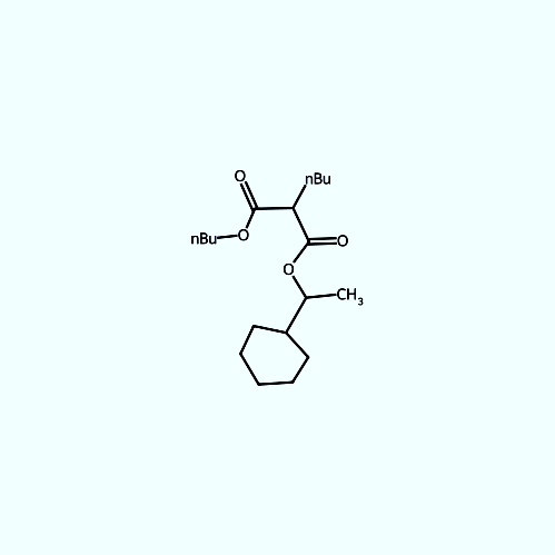 CCCCOC(=O)C(CCCC)C(=O)OC(C)C1CCCCC1